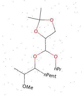 CCCCCC(OC(OCCC)C1COC(C)(C)O1)C(C)OC